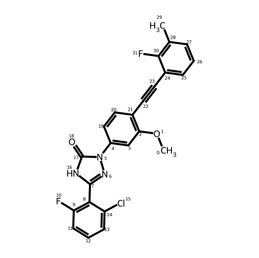 COc1cc(-n2nc(-c3c(F)cccc3Cl)[nH]c2=O)ccc1C#Cc1cccc(C)c1F